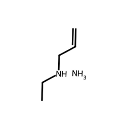 C=CCNCC.N